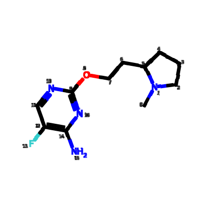 CN1CCCC1CCOc1ncc(F)c(N)n1